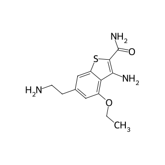 CCOc1cc(CCN)cc2sc(C(N)=O)c(N)c12